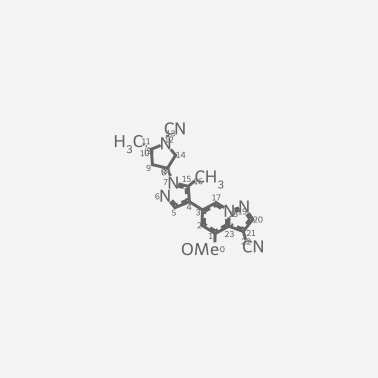 COc1cc(-c2cnn([C@H]3C[C@H](C)N(C#N)C3)c2C)cn2ncc(C#N)c12